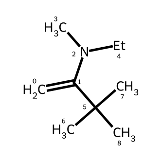 C=C(N(C)CC)C(C)(C)C